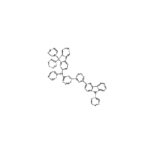 C1=CC(C2(c3ccccc3)c3ccccc3-c3ccc(N(c4ccccc4)c4cccc(-c5cccc(-c6ccc7c(c6)c6ccccc6n7-c6ccccc6)c5)c4)cc32)=CCC1